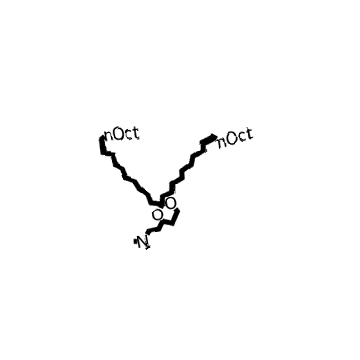 CCCCCCCC/C=C\CCCCCCCCC1(CCCCCCCC/C=C\CCCCCCCC)OCCC(CCN(C)C)O1